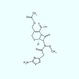 CON(C(=O)Cc1csc(N)n1)C1C(=O)N2C(C(=O)O)=C(COC(C)=O)CS[C@H]12